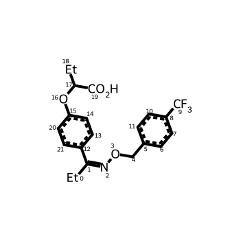 CCC(=NOCc1ccc(C(F)(F)F)cc1)c1ccc(OC(CC)C(=O)O)cc1